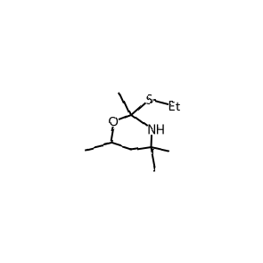 CCSC1(C)NC(C)(C)CC(C)O1